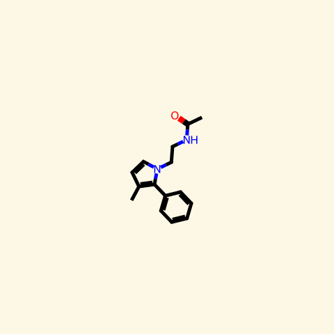 CC(=O)NCCn1ccc(C)c1-c1ccccc1